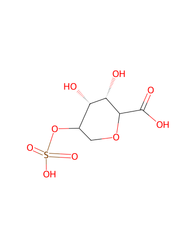 O=C(O)C1OCC(OS(=O)(=O)O)[C@H](O)[C@@H]1O